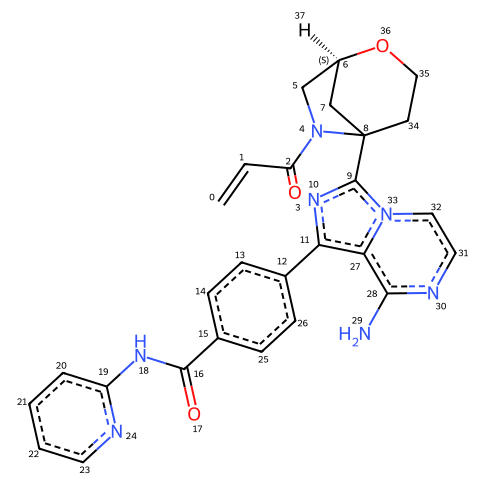 C=CC(=O)N1C[C@@H]2CC1(c1nc(-c3ccc(C(=O)Nc4ccccn4)cc3)c3c(N)nccn13)CCO2